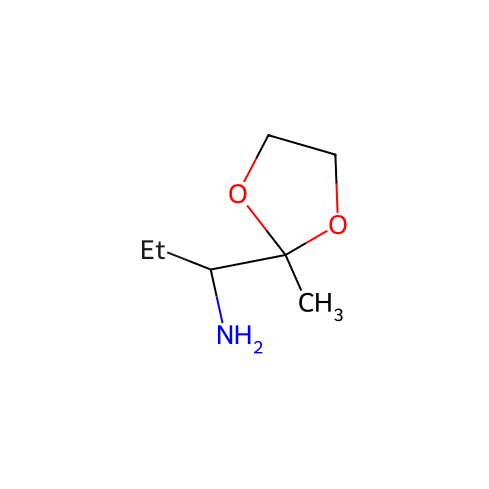 CCC(N)C1(C)OCCO1